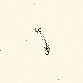 CCCCCC1CC=C(CCCCOC(=O)Oc2ccccc2)CC1